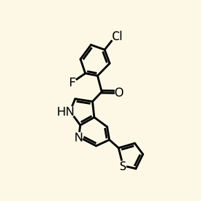 O=C(c1cc(Cl)ccc1F)c1c[nH]c2ncc(-c3cccs3)cc12